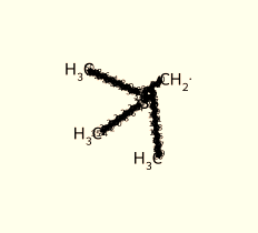 [CH2]CCCc1cc(SCCCCCCCCCCCCC)c(SCCCCCCCCCCCCC)c(SCCCCCCCCCCCCC)c1